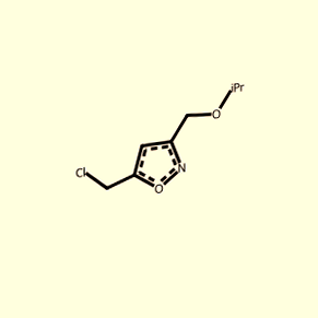 CC(C)OCc1cc(CCl)on1